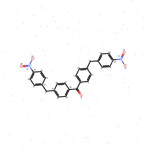 O=C(c1ccc(Cc2ccc([N+](=O)[O-])cc2)cc1)c1ccc(Cc2ccc([N+](=O)[O-])cc2)cc1